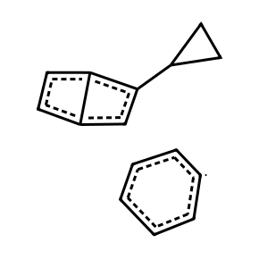 [c]1ccccc1.c1cc2c(C3CC3)cc1-2